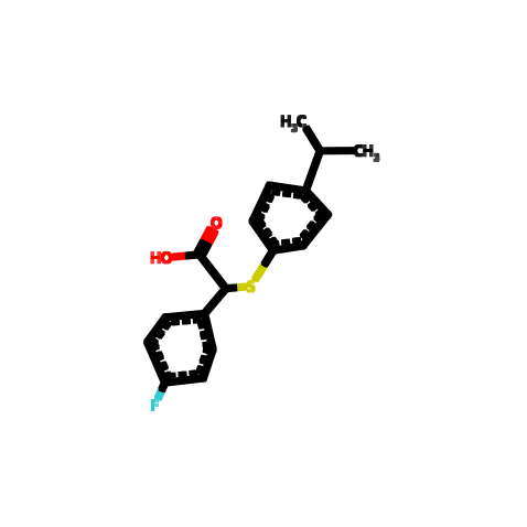 CC(C)c1ccc(SC(C(=O)O)c2ccc(F)cc2)cc1